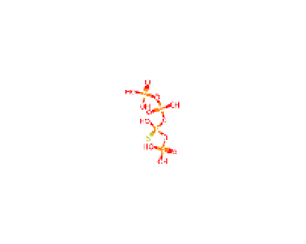 O=P(O)(O)OP(=O)(O)OP(O)(=S)OP(=O)(O)O